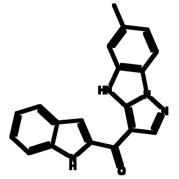 Cc1ccc2c(c1)[nH]c1c(C(=O)c3cc4ccccc4[nH]3)cnn12